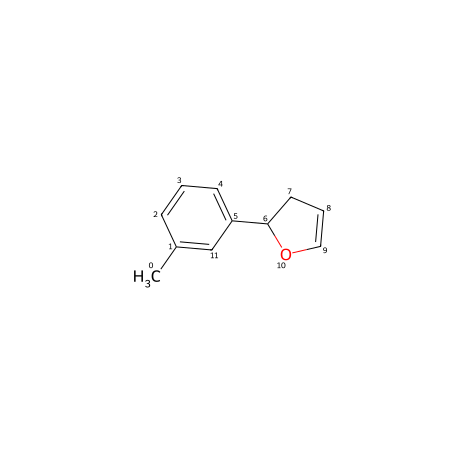 Cc1cccc(C2CC=CO2)c1